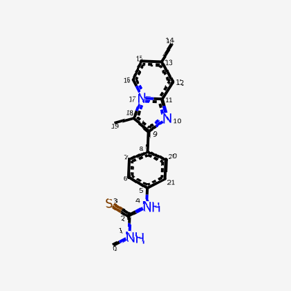 CNC(=S)Nc1ccc(-c2nc3cc(C)ccn3c2C)cc1